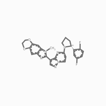 Cn1c(-c2cnn3ccc(N4CCC[C@@H]4c4cc(F)ccc4F)nc23)nc2cc3c(cc21)OCCO3